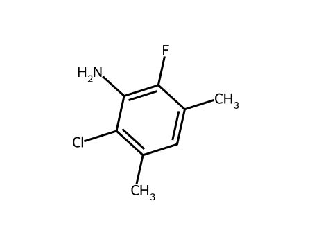 Cc1cc(C)c(Cl)c(N)c1F